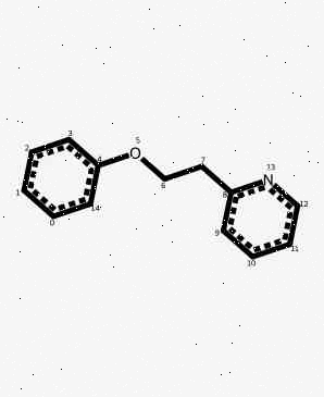 [c]1cccc(OCCc2ccccn2)c1